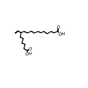 C=CC(CCCCCCCCCCC(=O)O)CCCCCC(=O)O